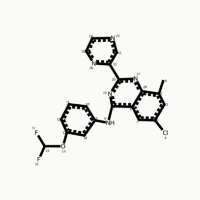 Cc1cc(Cl)cc2c(Nc3cccc(OC(F)F)c3)nc(-c3cnccn3)nc12